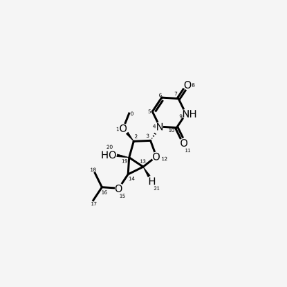 CO[C@H]1[C@H](n2ccc(=O)[nH]c2=O)O[C@@H]2C(OC(C)C)[C@@]21O